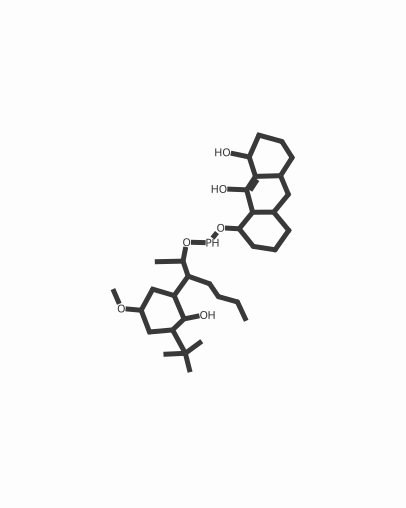 CCCCC(C(C)OPOC1CCCC2CC3CCCC(O)C3=C(O)C21)C1CC(OC)CC(C(C)(C)C)C1O